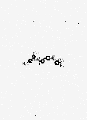 Cc1ccc(-n2nc(C(C)(C)C)cc2NC(=O)Nc2cccc(CC3CCN(C(=O)COc4cccc(C)c4C)CC3)c2)cc1